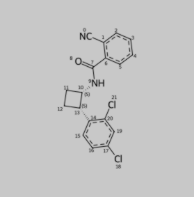 N#Cc1ccccc1C(=O)N[C@H]1CC[C@H]1c1ccc(Cl)cc1Cl